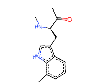 CN[C@H](Cc1c[nH]c2c(C)cccc12)C(C)=O